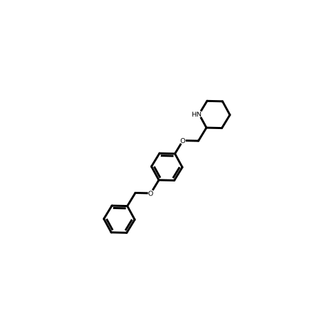 c1ccc(COc2ccc(OCC3CCCCN3)cc2)cc1